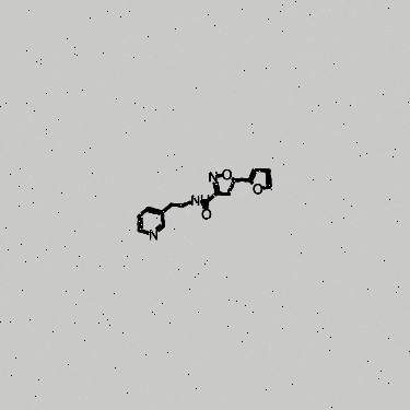 O=C(NCCc1cccnc1)C1=NOC(c2ccco2)C1